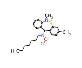 CCCCCCCN(OCl)C1c2ccc(C)cc2SN(C)c2ccccc21